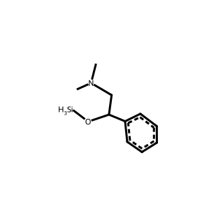 CN(C)CC(O[SiH3])c1ccccc1